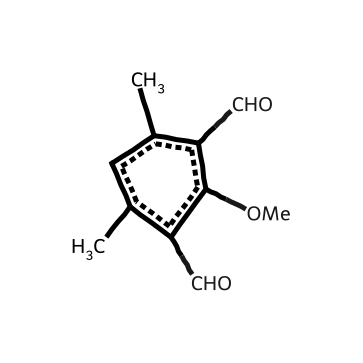 COc1c(C=O)c(C)cc(C)c1C=O